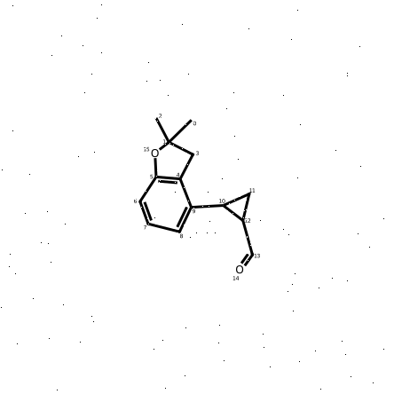 CC1(C)Cc2c(cccc2C2CC2C=O)O1